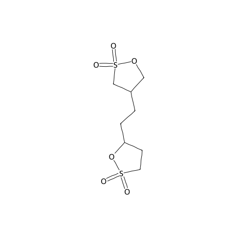 O=S1(=O)CC(CCC2CCS(=O)(=O)O2)CO1